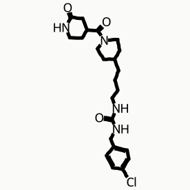 O=C1CC(C(=O)N2CCC(CCCCNC(=O)NCc3ccc(Cl)cc3)CC2)CCN1